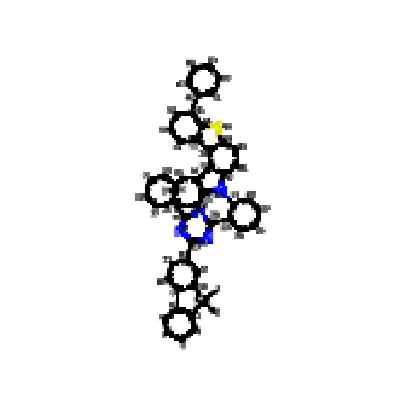 C[Si]1(C)c2ccccc2-c2ccc(-c3nc(-c4ccccc4)nc(-c4ccccc4-n4c5ccccc5c5c6c(ccc54)sc4c(-c5ccccc5)cccc46)n3)cc21